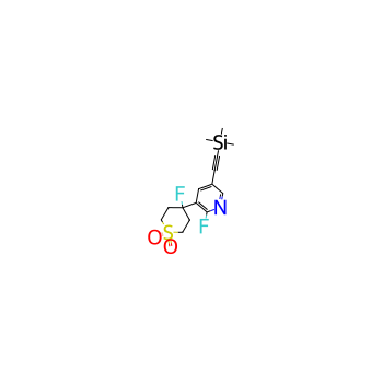 C[Si](C)(C)C#Cc1cnc(F)c(C2(F)CCS(=O)(=O)CC2)c1